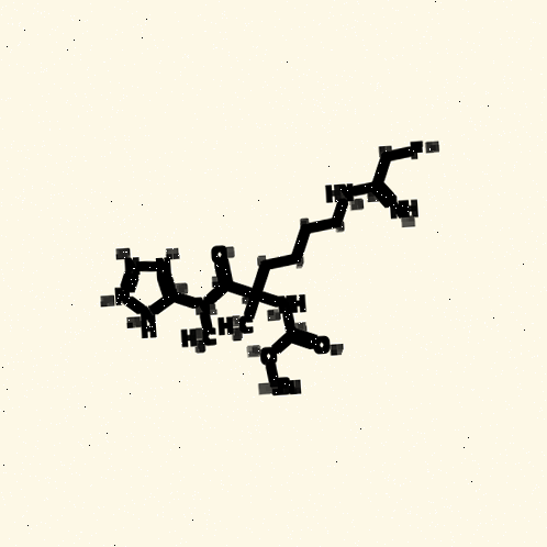 CN(C(=O)C(C)(CCCCNC(=N)CF)NC(=O)OC(C)(C)C)c1nnn[nH]1